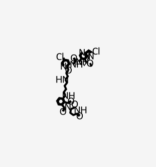 CO[C@@H](C)c1c(NC(=O)Nc2cc(Cl)cnc2OCCNCCCCNc2cccc3c2C(=O)N(C2CCC(=O)NC2=O)C3=O)cnc2cc(Cl)nn12